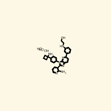 Cl.Cl.Cl.Nc1ncccc1-c1nc2ccc(-c3cccc(NCCO)c3)nc2n1-c1ccc(C2(N)CCC2)cc1